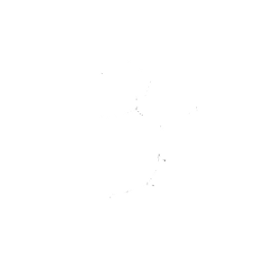 CC1CN1C(=O)C12CCC(CC1)C2